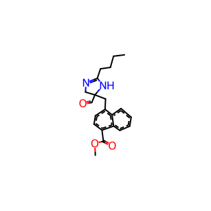 CCCCC1=NCC(C=O)(Cc2ccc(C(=O)OC)c3ccccc23)N1